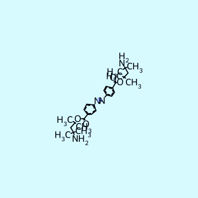 CC(C)(N)CC(C)(C)OC(=O)c1ccc(/N=N/c2ccc(C(=O)OC(C)(C)CC(C)(C)N)cc2)cc1